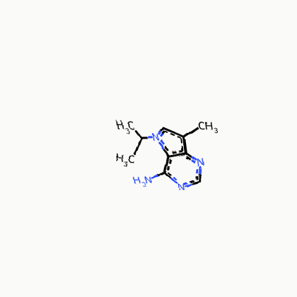 Cc1cn(C(C)C)c2c(N)ncnc12